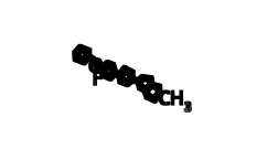 CC1CCC2CC(c3ccc(-c4ccc(OCc5ccccc5)c(F)c4)cc3)CCC2C1